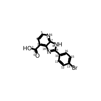 O=C(O)c1ccnc2[nH]c(-c3ccc(Br)cc3)nc12